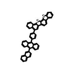 c1ccc2cc(-c3c4ccccc4c(-c4ccc(-c5cc6c7ccc8c9ccccc9sc8c7sc6c6ccccc56)cc4)c4ccccc34)ccc2c1